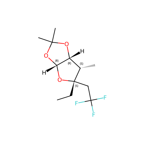 CC[C@@]1(CC(F)(F)F)O[C@@H]2OC(C)(C)O[C@@H]2[C@@H]1C